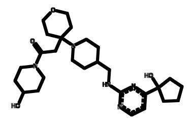 O=C(CC1(N2CCC(CNc3nccc(C4(O)CCCC4)n3)CC2)CCOCC1)N1CCC(O)CC1